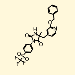 CC1(Cc2ccnc(OCc3ccccc3)c2)NC(=O)N(c2ccc(S(=O)(=O)C(F)(F)F)cc2)C1=O